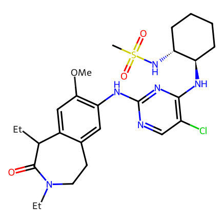 CCC1C(=O)N(CC)CCc2cc(Nc3ncc(Cl)c(N[C@@H]4CCCC[C@H]4NS(C)(=O)=O)n3)c(OC)cc21